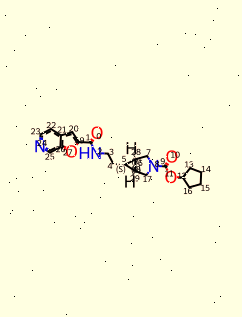 O=C(NCC[C@@H]1[C@H]2CN(C(=O)OC3CCCC3)C[C@@H]12)c1cc2ccncc2o1